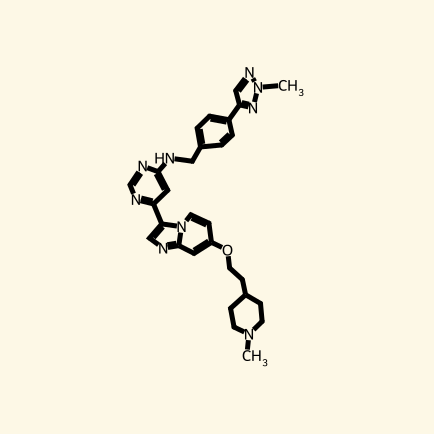 CN1CCC(CCOc2ccn3c(-c4cc(NCc5ccc(-c6cnn(C)n6)cc5)ncn4)cnc3c2)CC1